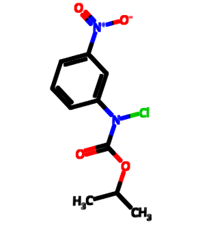 CC(C)OC(=O)N(Cl)c1cccc([N+](=O)[O-])c1